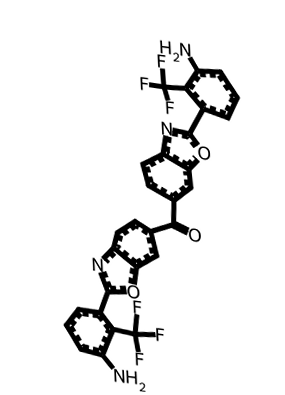 Nc1cccc(-c2nc3ccc(C(=O)c4ccc5nc(-c6cccc(N)c6C(F)(F)F)oc5c4)cc3o2)c1C(F)(F)F